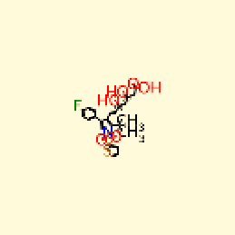 CC(C)c1c(C=C[C@@H](O)C[C@@H](O)CC(=O)O)c(-c2ccc(F)cc2)cn1S(=O)(=O)c1cccs1